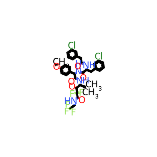 COc1ccc(C(NC(=O)C(Cc2cccc(Cl)c2)NC(=O)Cc2cccc(Cl)c2)C(=O)NC(C(=O)C(F)(F)C(=O)NCC(F)(F)F)C(C)C)cc1